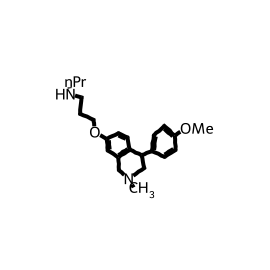 CCCNCCCOc1ccc2c(c1)CN(C)CC2c1ccc(OC)cc1